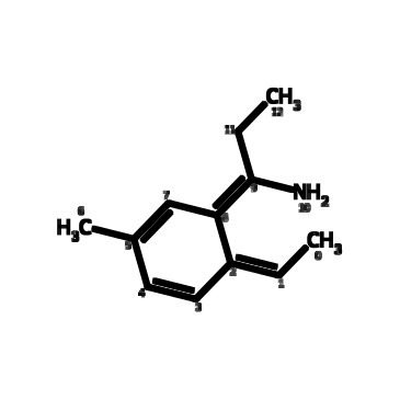 C/C=c1/ccc(C)c/c1=C(/N)CC